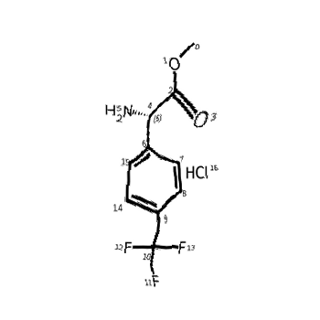 COC(=O)[C@@H](N)c1ccc(C(F)(F)F)cc1.Cl